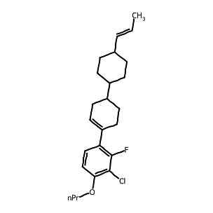 C/C=C/C1CCC(C2CC=C(c3ccc(OCCC)c(Cl)c3F)CC2)CC1